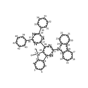 C[Si]1(C)c2ccccc2-c2nc(-n3c4ccccc4c4ccccc43)nc(-c3nc(-c4ccccc4)nc(-c4ccccc4)n3)c21